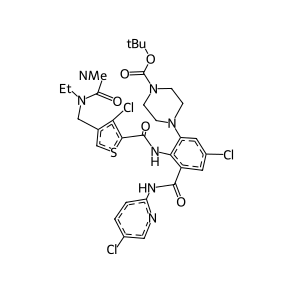 CCN(Cc1csc(C(=O)Nc2c(C(=O)Nc3ccc(Cl)cn3)cc(Cl)cc2N2CCN(C(=O)OC(C)(C)C)CC2)c1Cl)C(=O)NC